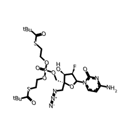 CC(C)(C)C(=O)SCCOP(=O)(OCCSC(=O)C(C)(C)C)OC[C@@]1(CN=[N+]=[N-])OC(n2ccc(N)nc2=O)[C@H](F)[C@@H]1O